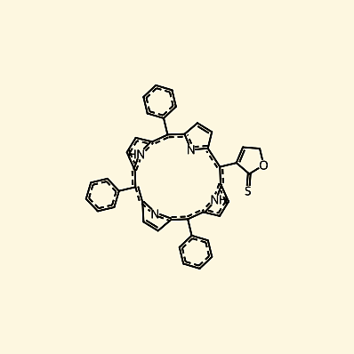 S=C1OCC=C1c1c2nc(c(-c3ccccc3)c3ccc([nH]3)c(-c3ccccc3)c3nc(c(-c4ccccc4)c4ccc1[nH]4)C=C3)C=C2